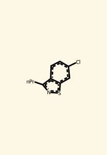 CCCc1nsc2cc(Cl)ccc12